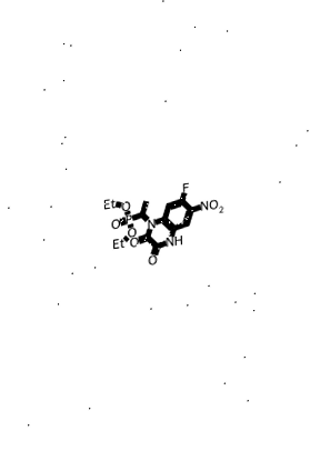 CCOP(=O)(OCC)C(C)n1c(=O)c(=O)[nH]c2cc([N+](=O)[O-])c(F)cc21